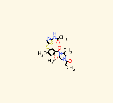 C=CC(=O)N1CCN(C(=O)c2cc(Sc3cnc(NC(C)=O)s3)c(C)cc2OC)C(C)C1